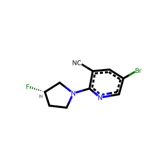 N#Cc1cc(Br)cnc1N1CC[C@H](F)C1